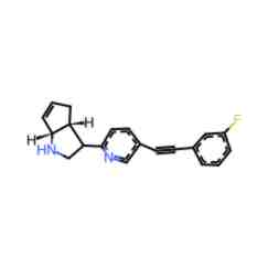 Fc1cccc(C#Cc2ccc(C3CN[C@@H]4C=CC[C@H]34)nc2)c1